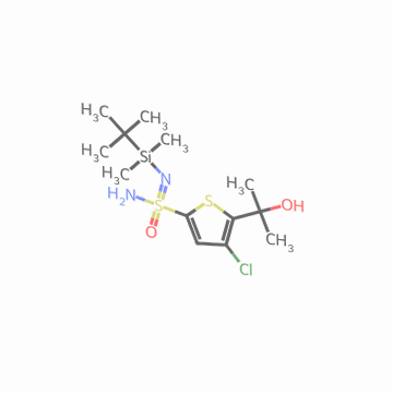 CC(C)(O)c1sc(S(N)(=O)=N[Si](C)(C)C(C)(C)C)cc1Cl